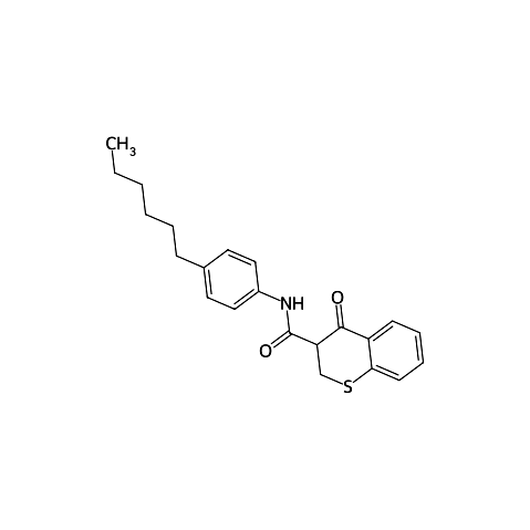 CCCCCCc1ccc(NC(=O)C2CSc3ccccc3C2=O)cc1